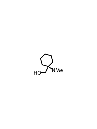 CNC1(CO)CCCCC1